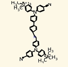 C[Si](C)(C)c1ccc(N(c2ccc(C#N)cc2)c2ccc(/C=C/c3ccc(-c4ccc(N(c5ccc(C#N)cc5)c5ccc([Si](C)(C)C)cc5)cc4)cc3)cc2)cc1